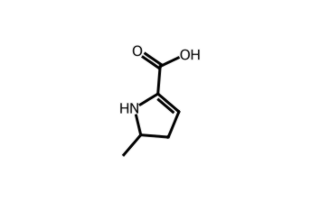 CC1CC=C(C(=O)O)N1